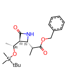 CC(C(=O)OCc1ccccc1)[C@H]1NC(=O)[C@@H]1[C@@H](C)O[Si](C)(C)C(C)(C)C